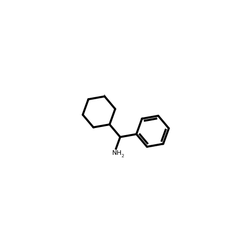 NC(c1ccccc1)C1C[CH]CCC1